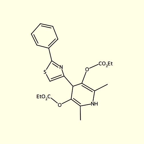 CCOC(=O)OC1=C(C)NC(C)=C(OC(=O)OCC)C1c1csc(-c2ccccc2)n1